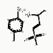 CC(N)/C=C/S(C)(=O)=O.Cc1ccc(S(=O)(=O)O)cc1